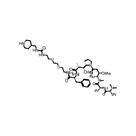 CC[C@H](C)[C@@H]([C@@H](CC(=O)N1CCC[C@H]1[C@H](OC)[C@@H](C)C(=O)N[C@@H](Cc1ccccc1)C(=O)NCCOCCOCCNC(=O)NCC1CCNCC1)OC)N(C)C(=O)[C@@H](NC(=O)[C@H](C(C)C)N(C)C)C(C)C